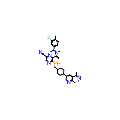 C=C(c1nc(C#N)cnc1PCC1CCC(c2cnc(C)c(/C(C)=N\C)c2)CC1)N(C)C(C)c1ccc(C)c(F)c1